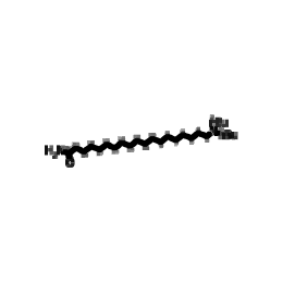 CCCCN(CCCC)CCCCCCCCCCCCCCCCCCC(N)=O